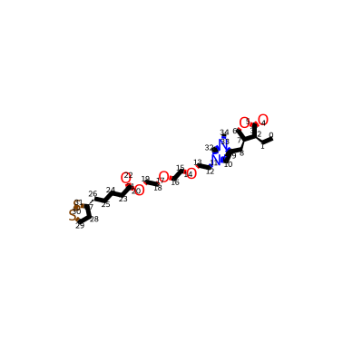 CC[C@@H]1C(=O)OC[C@@H]1Cc1c[n+](CCOCCOCCOC(=O)CCCC[C@@H]2CCSS2)cn1C